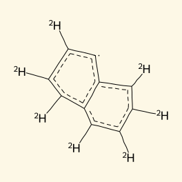 [2H]c1[c]c2c([2H])c([2H])c([2H])c([2H])c2c([2H])c1[2H]